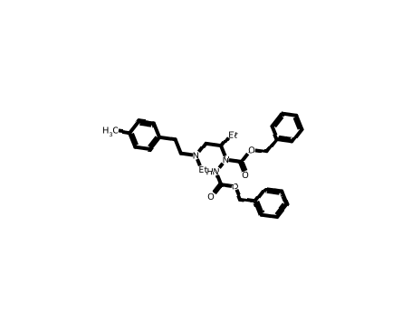 CCC(CN(CC)CCc1ccc(C)cc1)N(NC(=O)OCc1ccccc1)C(=O)OCc1ccccc1